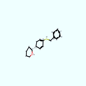 C1=CC([C@H]2CCCCO2)CC=C1SCc1ccccc1